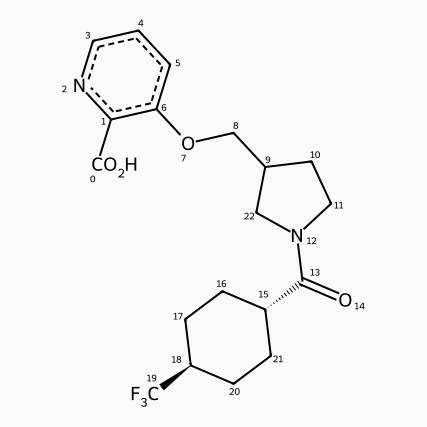 O=C(O)c1ncccc1OCC1CCN(C(=O)[C@H]2CC[C@H](C(F)(F)F)CC2)C1